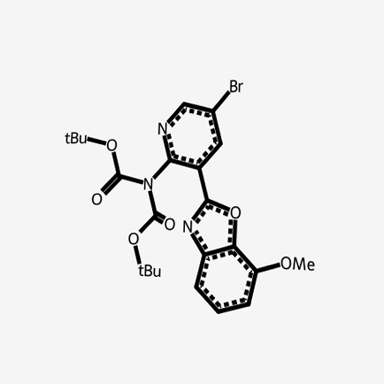 COc1cccc2nc(-c3cc(Br)cnc3N(C(=O)OC(C)(C)C)C(=O)OC(C)(C)C)oc12